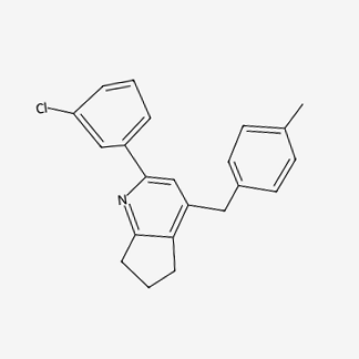 Cc1ccc(Cc2cc(-c3cccc(Cl)c3)nc3c2CCC3)cc1